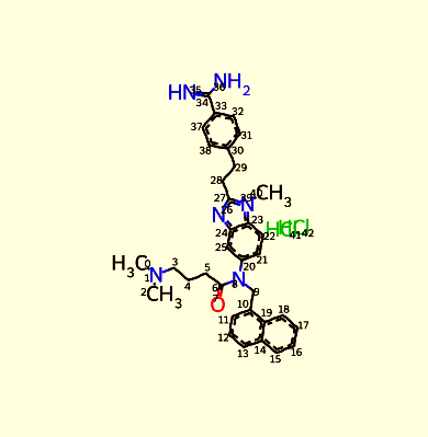 CN(C)CCCC(=O)N(Cc1cccc2ccccc12)c1ccc2c(c1)nc(CCc1ccc(C(=N)N)cc1)n2C.Cl.Cl